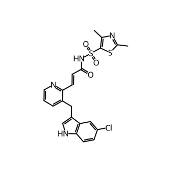 Cc1nc(C)c(S(=O)(=O)NC(=O)C=Cc2ncccc2Cc2c[nH]c3ccc(Cl)cc23)s1